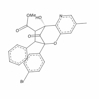 COC(=O)C1C(c2ccccc2)C2(c3ccc(Br)cc3)Oc3cc(C)cnc3[C@@]1(O)C2=O